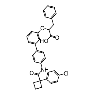 O=C(O)C(Cc1ccccc1)Oc1cccc(-c2ccc(NC(=O)C3(c4ccc(Cl)cc4)CCC3)cc2)c1